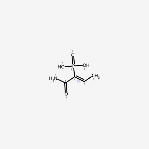 C/C=C(/C(N)=O)P(=O)(O)O